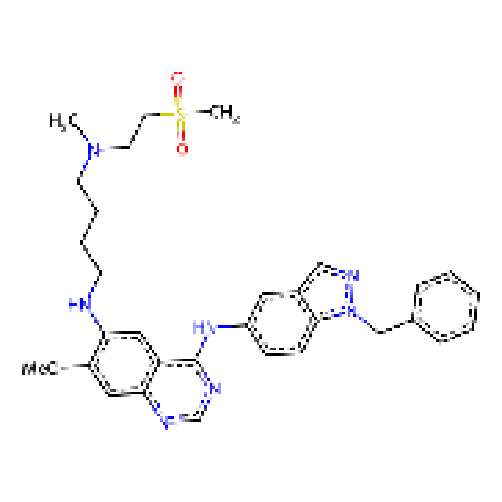 COc1cc2ncnc(Nc3ccc4c(cnn4Cc4ccccc4)c3)c2cc1NCCCCN(C)CCS(C)(=O)=O